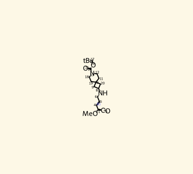 COC(=C=O)/C=C/CNC1CC2(CCN(C(=O)OC(C)(C)C)CC2)C1